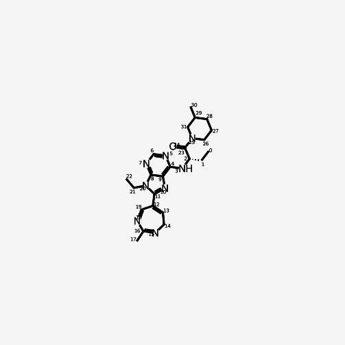 CC[C@H](Nc1ncnc2c1nc(C1=CCN=C(C)N=C1)n2CC)C(=O)N1CCCC(C)C1